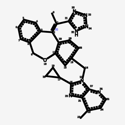 C/C(=C1\c2ccccc2COc2cc(Cn3c(C4CC4)nc4c(C)ccnc43)ccc21)c1nnn[nH]1